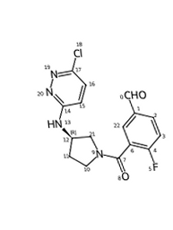 O=Cc1ccc(F)c(C(=O)N2CC[C@@H](Nc3ccc(Cl)nn3)C2)c1